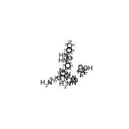 CCn1c(-c2nonc2N)nc2c(-c3cccc(NC(=O)Nc4ccc5c(c4)CCC5)c3)ncc(OCCCN)c21.O=C(O)C(F)(F)F